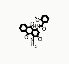 COc1ccccc1C(=O)Nc1cc(Cl)c(N)c2c1C(=O)c1ccccc1C2=O